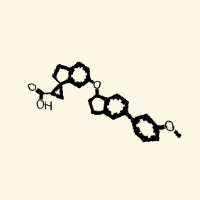 COc1cccc(-c2ccc3c(c2)CCC3Oc2ccc3c(c2)[C@]2(CC3)C[C@H]2C(=O)O)c1